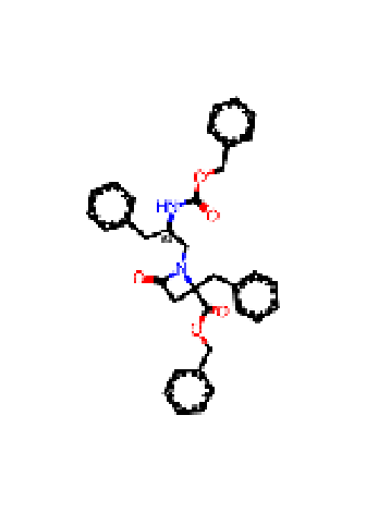 O=C(N[C@H](Cc1ccccc1)CN1C(=O)CC1(Cc1ccccc1)C(=O)OCc1ccccc1)OCc1ccccc1